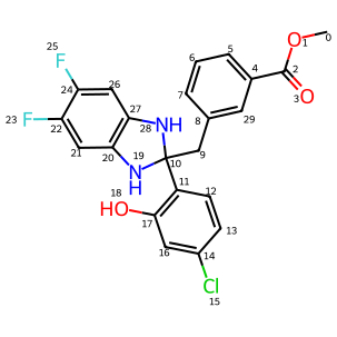 COC(=O)c1cccc(CC2(c3ccc(Cl)cc3O)Nc3cc(F)c(F)cc3N2)c1